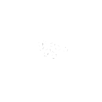 c1ccc(N(c2ccc3sc4ccccc4c3c2)c2cc3c(c4ccccc24)-c2ccc4ccccc4c2C32c3ccccc3-c3ccccc32)cc1